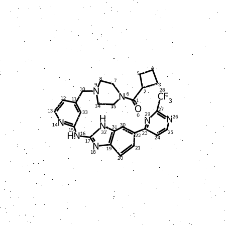 O=C(C1CCC1)N1CCN(Cc2ccnc(Nc3nc4ccc(-c5ccnc(C(F)(F)F)n5)cc4[nH]3)c2)CC1